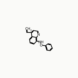 C=Cc1ccnc2c(NOc3ccccc3)cccc12